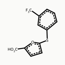 O=C(O)c1ccc(Sc2cccc(C(F)(F)F)c2)o1